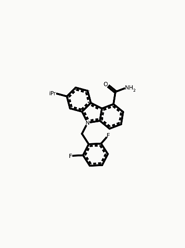 CC(C)c1c[c]c2c3c(C(N)=O)cccc3n(Cc3c(F)cccc3F)c2c1